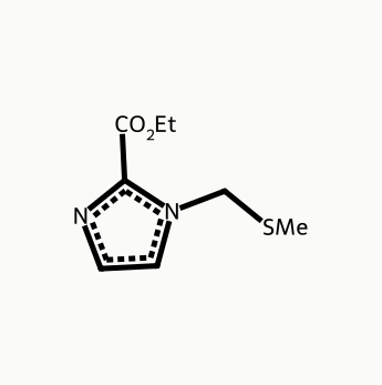 CCOC(=O)c1nccn1CSC